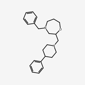 c1ccc(CN2CCCOC(CN3CCC(c4ccccc4)CC3)C2)cc1